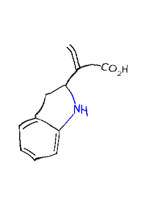 C=C(C(=O)O)C1Cc2ccccc2N1